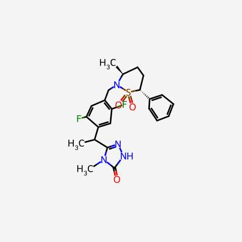 CC(c1cc(F)c(CN2[C@@H](C)CC[C@H](c3ccccc3)S2(=O)=O)cc1F)c1n[nH]c(=O)n1C